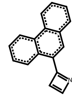 C1=CC(c2cc3ccccc3c3ccccc23)=N1